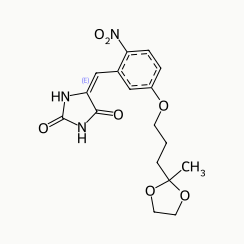 CC1(CCCOc2ccc([N+](=O)[O-])c(/C=C3/NC(=O)NC3=O)c2)OCCO1